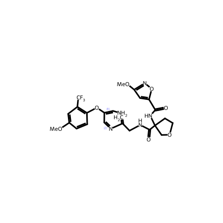 C=C(CNC(=O)C1(NC(=O)c2cc(OC)no2)CCOC1)/N=C\C(=C/N)Oc1ccc(OC)cc1C(F)(F)F